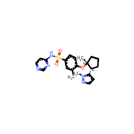 Cc1cc(S(=O)(=O)Nc2ccncn2)ccc1O[C@]1(C)CCC[C@@H]1c1ccnn1C